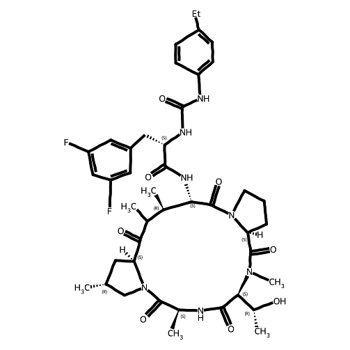 CCc1ccc(NC(=O)N[C@@H](Cc2cc(F)cc(F)c2)C(=O)N[C@@H]2C(=O)N3CCC[C@H]3C(=O)N(C)[C@@H]([C@@H](C)O)C(=O)N[C@@H](C)C(=O)N3C[C@H](C)C[C@H]3C(=O)C(C)[C@H]2C)cc1